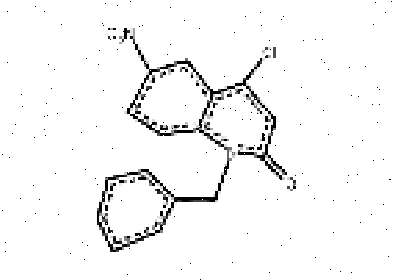 O=c1cc(Cl)c2cc([N+](=O)[O-])ccc2n1Cc1ccccc1